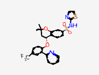 CC1(C)C[C@@H](Oc2ccc(C(F)(F)F)cc2-c2ccccn2)c2ccc(S(=O)(=O)Nc3nccs3)cc2O1